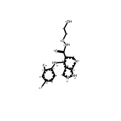 O=C(NOCCO)c1cnc2[nH]ncc2c1Nc1ccc(I)cc1F